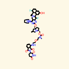 C#Cc1c(F)ccc2cc(O)cc(-c3ncc4c(N5CC6CCC(C5)N6)nc(OC[C@@]56CC[C@@H](COC(=O)N(C)CCOCCNc7cccc8c7C(=O)N(C7CCC(=O)NC7=O)C8=O)N5CC(=C)C6)nc4c3F)c12